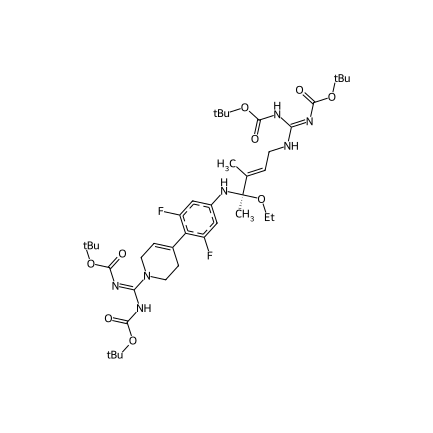 CCO[C@@](C)(Nc1cc(F)c(C2=CCN(/C(=N\C(=O)OC(C)(C)C)NC(=O)OC(C)(C)C)CC2)c(F)c1)/C(C)=C/CN/C(=N/C(=O)OC(C)(C)C)NC(=O)OC(C)(C)C